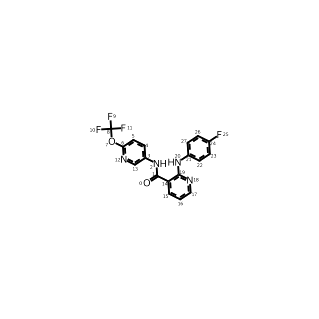 O=C(Nc1ccc(OC(F)(F)F)nc1)c1cccnc1Nc1ccc(F)cc1